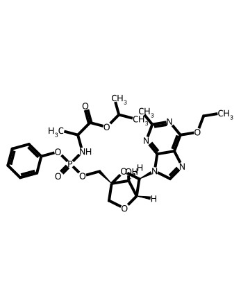 CCOc1nc(C)nc2c1ncn2[C@@H]1O[C@@]2(COP(=O)(NC(C)C(=O)OC(C)C)Oc3ccccc3)CO[C@@H]1[C@@H]2O